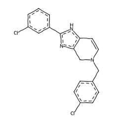 Clc1ccc(CN2C=Cc3[nH]c(-c4cccc(Cl)c4)nc3C2)cc1